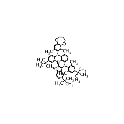 Cc1cc(C(C)(C)C)cc(C)c1N1c2cccc3c2B(c2cc(C(C)(C)C)ccc2N3c2c(C)cc3c(c2C)OCCCO3)c2oc3ccc(C(C)(C)C)cc3c21